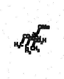 CC(=O)O.CC(=O)O.CC(=O)O.CO[Si]